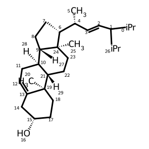 CC(C)C(/C=C/[C@@H](C)[C@H]1CC[C@H]2[C@@H]3CC=C4C[C@@H](O)CC[C@]4(C)[C@H]3CC[C@]12C)C(C)C